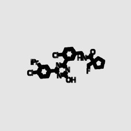 CC(C)c1cc(-c2nc(O)nc(-c3cc(CNC(=O)C4(CF)CCCC4)ccc3Cl)n2)ccc1Cl